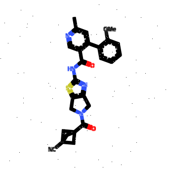 COc1ccccc1-c1cc(C)ncc1C(=O)Nc1nc2c(s1)CN(C(=O)C13CC(C#N)(C1)C3)C2